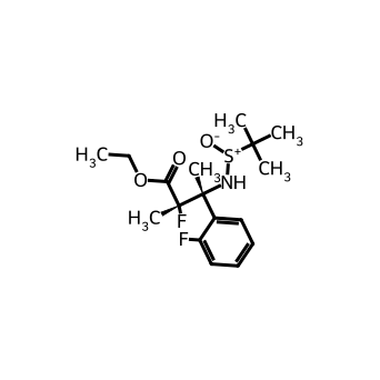 CCOC(=O)[C@@](C)(F)[C@](C)(N[S+]([O-])C(C)(C)C)c1ccccc1F